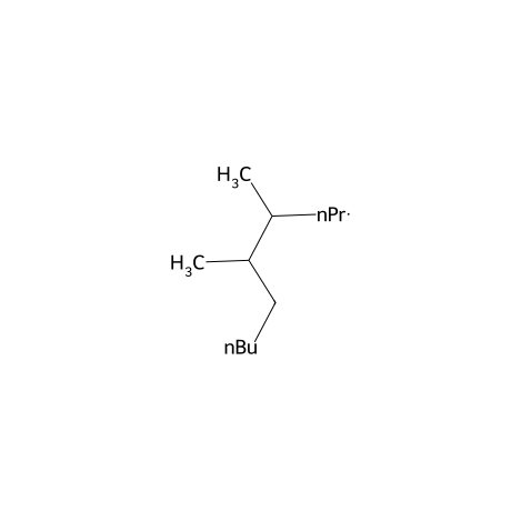 CC[CH]C(C)C(C)CCCCC